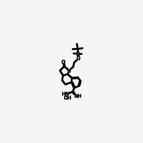 CC(C)(C)[Si](C)(C)OCCN1C(=O)CC2CCc3c(C(=N)NO)cccc3C21